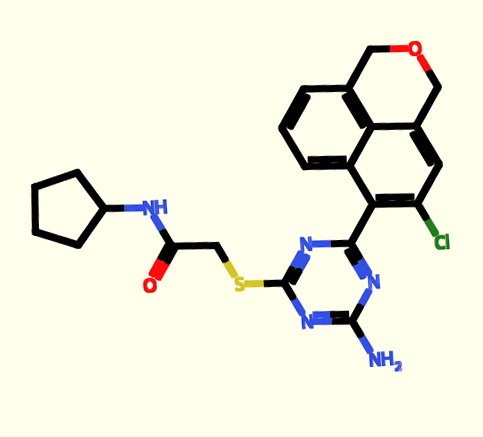 Nc1nc(SCC(=O)NC2CCCC2)nc(-c2c(Cl)cc3c4c(cccc24)COC3)n1